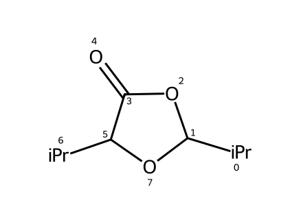 CC(C)C1OC(=O)C(C(C)C)O1